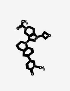 CC(=O)N1CCc2c(c(N3CCCc4cc(-c5ccc(=O)n(C)c5)ccc43)nn2C2COC2)C1